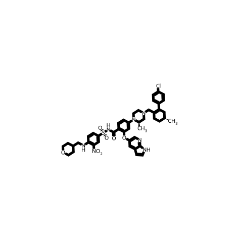 C[C@@H]1CCC(CN2CCN(c3ccc(C(=O)NS(=O)(=O)c4ccc(NCC5CCOCC5)c([N+](=O)[O-])c4)c(Oc4cnc5[nH]ccc5c4)c3)[C@H](C)C2)=C(c2ccc(Cl)cc2)C1